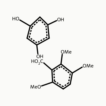 COc1ccc(OC)c(C(=O)O)c1OC.Oc1cc(O)cc(O)c1